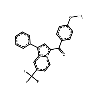 COc1ccc(C(=O)c2cc(-c3ccccc3)c3cc(C(F)(F)F)ccn23)cc1